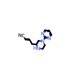 N#CC=CCC1CN(c2ncccn2)CCN1